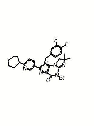 CCN1C(=O)c2nc(-c3ccc(C4CCCCC4)nc3)n(Cc3ccc(F)c(F)c3)c2N2CC(C)(C)N=C12